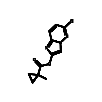 CC1(C(=O)Oc2cn3nc(Cl)ccc3n2)CC1